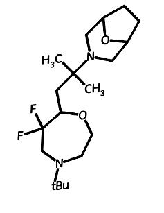 CC(C)(C)N1CCOC(CC(C)(C)N2CC3CCC(C2)O3)C(F)(F)C1